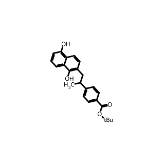 CC(Cc1ccc2c(O)cccc2c1O)c1ccc(C(=O)OC(C)(C)C)cc1